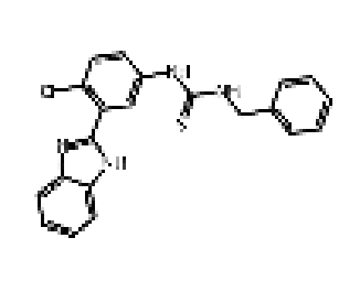 S=C(NCc1ccccc1)Nc1ccc(Cl)c(-c2nc3ccccc3[nH]2)c1